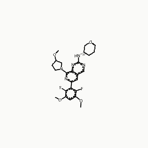 COc1cc(OC)c(F)c(-c2cc3cnc(N[C@H]4CCCOC4)nc3c(N3CCC(OC)C3)n2)c1F